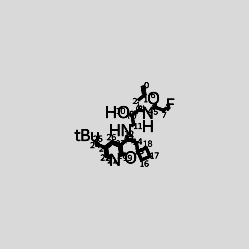 C=CC[C@H](NC(=O)CF)[C@H](O)CN[C@H]1CC2(CCC2)Oc2ncc(CC(C)(C)C)cc21